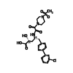 CS(=O)(=O)N1CCN(C(=O)C(=O)N[C@H](Cc2ccc(-c3cccc(Cl)c3)cc2)C[C@@H](O)C(=O)O)CC1